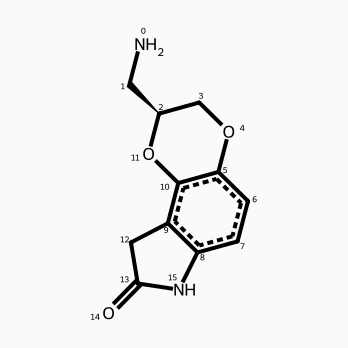 NC[C@H]1COc2ccc3c(c2O1)CC(=O)N3